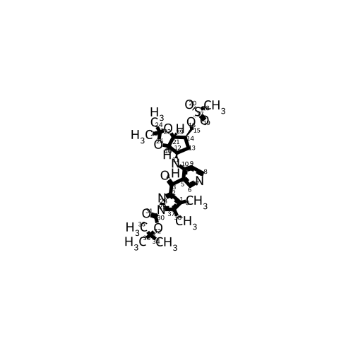 Cc1c(C(=O)c2cnccc2N[C@@H]2C[C@H](COS(C)(=O)=O)[C@H]3OC(C)(C)O[C@H]32)nn(C(=O)OC(C)(C)C)c1C